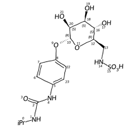 CC(C)NC(=O)Nc1ccc(O[C@H]2O[C@H](CNS(=O)(=O)O)[C@@H](O)[C@H](O)[C@@H]2O)cc1